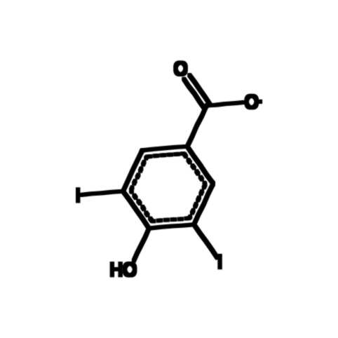 [O]C(=O)c1cc(I)c(O)c(I)c1